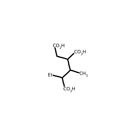 CCC(C(=O)O)C(C)C(CC(=O)O)C(=O)O